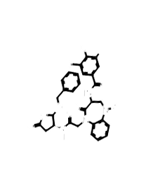 CC(=O)N1CC(NC(=O)c2cc(Cl)c(O)c(Cl)c2)C(=O)N(CC(=O)N[C@H]2CC(=O)OC2OCc2ccccc2)c2ccccc21